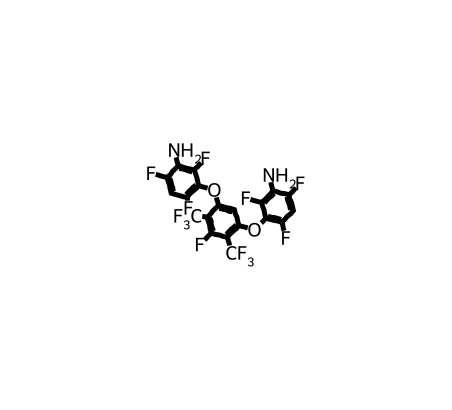 Nc1c(F)cc(F)c(Oc2cc(Oc3c(F)cc(F)c(N)c3F)c(C(F)(F)F)c(F)c2C(F)(F)F)c1F